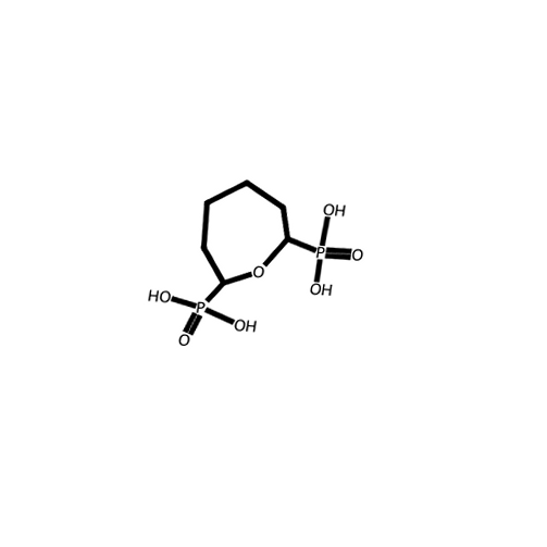 O=P(O)(O)C1CCCCC(P(=O)(O)O)O1